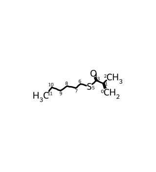 C=C(C)C(=O)SCCCCCC